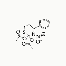 CC(=O)OC1(OC(C)=O)SCCC(c2ccccc2)N1[N+](=O)[O-]